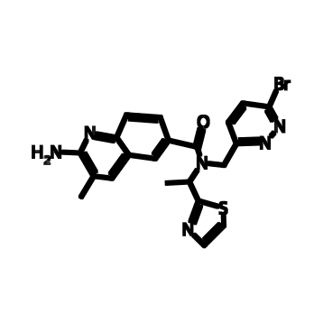 Cc1cc2cc(C(=O)N(Cc3ccc(Br)nn3)C(C)c3nccs3)ccc2nc1N